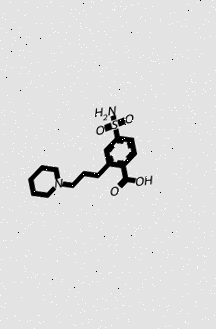 NS(=O)(=O)c1ccc(C(=O)O)c(CCCN2CCCCC2)c1